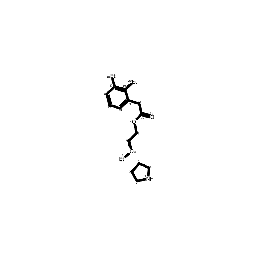 C1CCNC1.CCOCCOC(=O)Cc1cccc(CC)c1CC